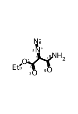 CCOC(=O)C(=[N+]=[N-])C(N)=O